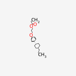 C=CC(=O)OCCCOc1ccc([C@H]2CC[C@H](CCC)CC2)cc1